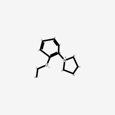 CCOc1[c]cccc1N1CCCC1